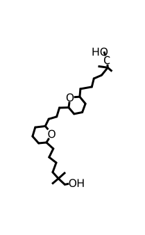 CC(C)(CO)CCCCC1CCCC(CCCC2CCCC(CCCCC(C)(C)CO)O2)O1